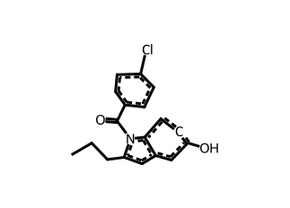 CCCc1cc2cc(O)ccc2n1C(=O)c1ccc(Cl)cc1